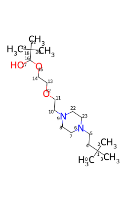 CC(C)(C)CCN1CCN(CCOCCOC(O)C(C)(C)C)CC1